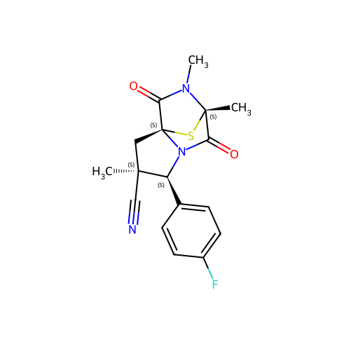 CN1C(=O)[C@@]23C[C@](C)(C#N)[C@H](c4ccc(F)cc4)N2C(=O)[C@]1(C)S3